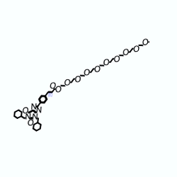 COCCOCCOCCOCCOCCOCCOCCOCCOCCOC(=O)/C=C/c1ccc(-c2nc3c(c(=O)n(CC4CCCCC4)c(=O)n3CC3CCCCC3)n2C)cc1